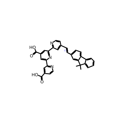 CC1(C)c2ccccc2-c2ccc(/C=C/c3ccnc(-c4cc(C(=O)O)cc(-c5cc(C(=O)O)ccn5)n4)c3)cc21